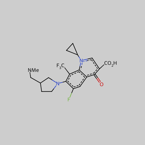 CNCC1CCN(c2c(F)cc3c(=O)c(C(=O)O)cn(C4CC4)c3c2C(F)(F)F)C1